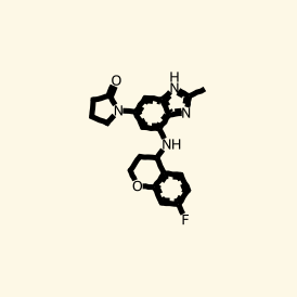 Cc1nc2c(NC3CCOc4cc(F)ccc43)cc(N3CCCC3=O)cc2[nH]1